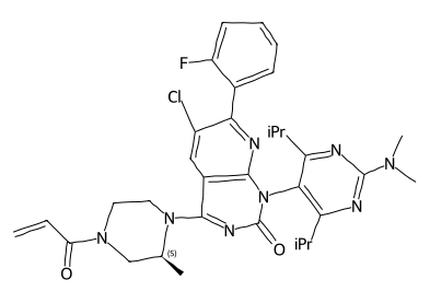 C=CC(=O)N1CCN(c2nc(=O)n(-c3c(C(C)C)nc(N(C)C)nc3C(C)C)c3nc(-c4ccccc4F)c(Cl)cc23)[C@@H](C)C1